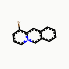 Brc1ccc[n+]2cc3ccccc3cc12